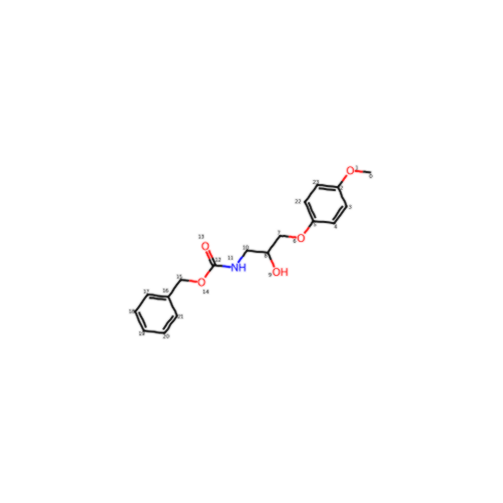 COc1ccc(OCC(O)CNC(=O)OCc2ccccc2)cc1